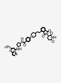 CCCc1cc(N[C@@H]2CC[C@@H](NC(=O)c3ccc(N4CCC(CCc5cccc6c5C(=O)N(C5CCC(=O)NC5=O)C6=O)CC4)cc3)C2)n2nccc2n1